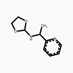 CC(NC1OCCO1)c1ccccn1